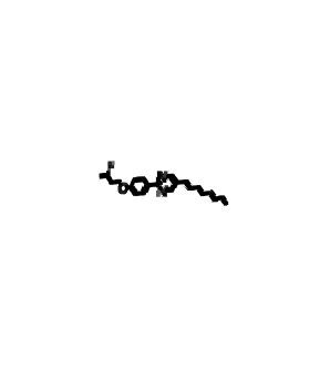 CCCCCCCCc1cnc(-c2ccc(OCCC(C)F)cc2)nc1